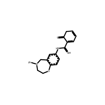 CC(C)N1CCOc2ccc(NC(=N)C3=CC=CCC3=S)cc2C1